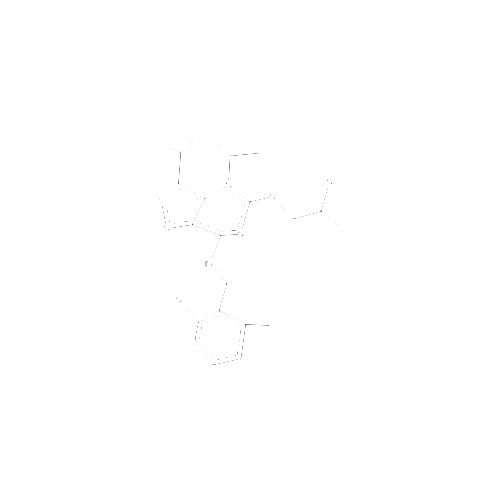 CC(N)CNc1nc(NCc2c(N)cccc2Cl)c2nnc(C(C)C)c-2n1C(C)C